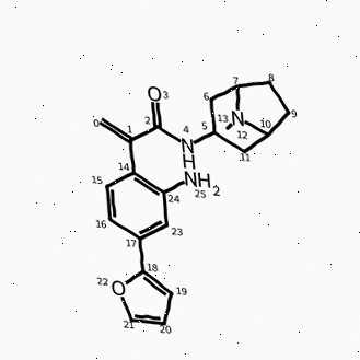 C=C(C(=O)NC1CC2CCC(C1)N2C)c1ccc(-c2ccco2)cc1N